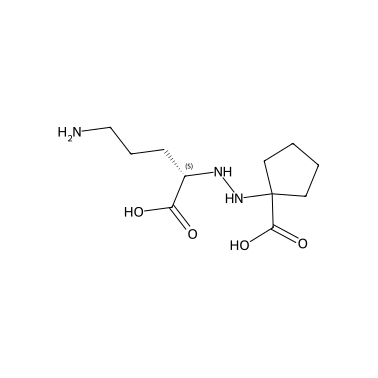 NCCC[C@H](NNC1(C(=O)O)CCCC1)C(=O)O